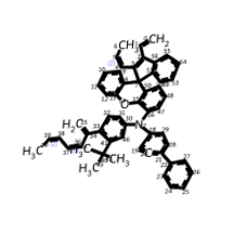 C=CC1=C(/C=C\C)C2(c3ccccc3Oc3c(N(c4ccc(-c5ccccc5)cc4)c4ccc(C(=C)/C=C\C=C/C)c(C(C)(C)C)c4)cccc32)c2ccccc21